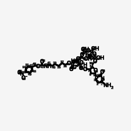 Nc1ccn([C@H]2CC(O)[C@@H](COP(=O)(O)OP(=O)(O)OP(=O)(O)OP(=O)(O)OP(=O)(O)OP(=O)(O)OCCCCCCNC(=O)OCc3ccc([N+](=O)[O-])cc3)O2)c(=O)n1